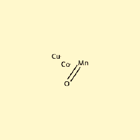 [Co].[Cu].[O]=[Mn]